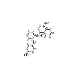 CC(=O)N1CCC(Nc2ccccc2Oc2ccc(Cl)cc2)c2ccccc21